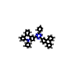 c1ccc(-c2nc(-c3ccc4c(c3)-c3ccccc3-c3ccccc3N4c3ccccc3)nc(-c3ccc4c5ccccc5c5ccccc5c4c3)n2)cc1